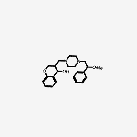 COC(CN1CCN(CC2COc3ccccc3C2O)CC1)c1ccccc1